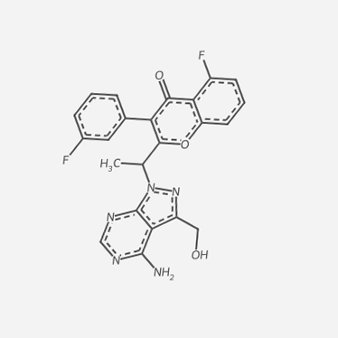 CC(c1oc2cccc(F)c2c(=O)c1-c1cccc(F)c1)n1nc(CO)c2c(N)ncnc21